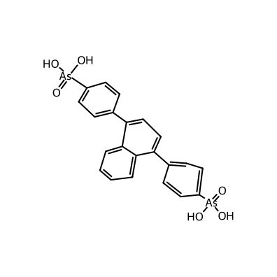 O=[As](O)(O)c1ccc(-c2ccc(-c3ccc([As](=O)(O)O)cc3)c3ccccc23)cc1